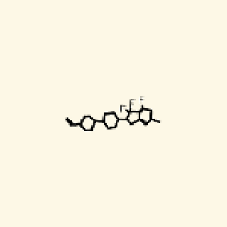 C=CC1CCC(C2CCC(C3Cc4cc(C)cc(F)c4C3(F)F)CC2)CC1